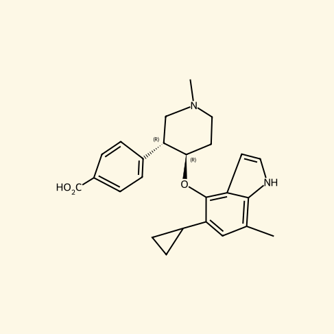 Cc1cc(C2CC2)c(O[C@@H]2CCN(C)C[C@H]2c2ccc(C(=O)O)cc2)c2cc[nH]c12